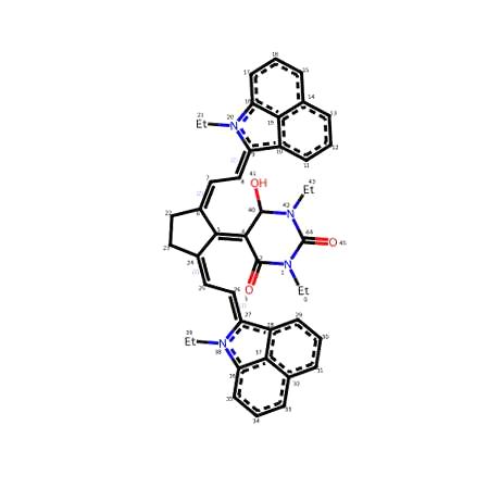 CCN1C(=O)C(=C2/C(=C\C=c3\c4cccc5cccc(c54)n3CC)CC/C2=C/C=c2/c3cccc4cccc(c43)n2CC)C(O)N(CC)C1=O